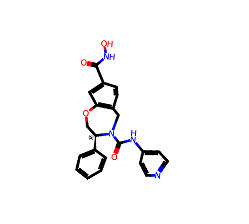 O=C(NO)c1ccc2c(c1)OC[C@H](c1ccccc1)N(C(=O)Nc1ccncc1)C2